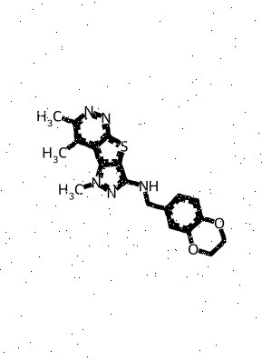 Cc1nnc2sc3c(NCc4ccc5c(c4)OCCO5)nn(C)c3c2c1C